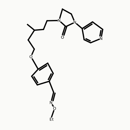 CCON=Cc1ccc(OCCC(C)CCN2CCN(c3ccncc3)C2=O)cc1